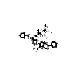 C=C1[C@@H]2COC(c3ccccc3)O[C@H]2C[C@@H]1n1cnc2c(OCc3ccccc3)nc(NC(=O)OC(C)(C)C)nc21